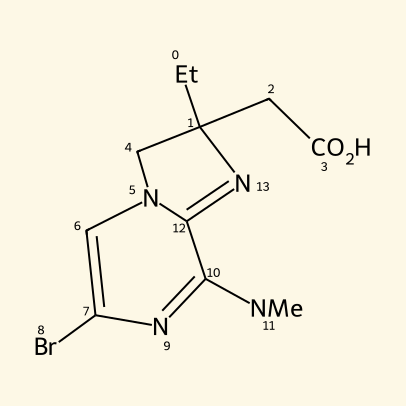 CCC1(CC(=O)O)CN2C=C(Br)N=C(NC)C2=N1